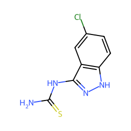 NC(=S)Nc1n[nH]c2ccc(Cl)cc12